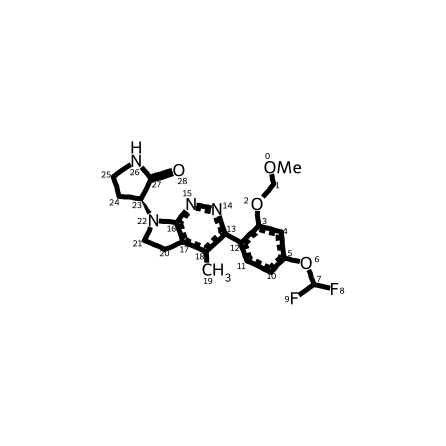 COCOc1cc(OC(F)F)ccc1-c1nnc2c(c1C)CCN2[C@H]1CCNC1=O